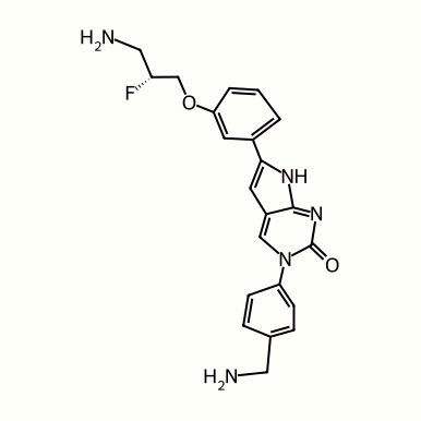 NCc1ccc(-n2cc3cc(-c4cccc(OC[C@H](F)CN)c4)[nH]c3nc2=O)cc1